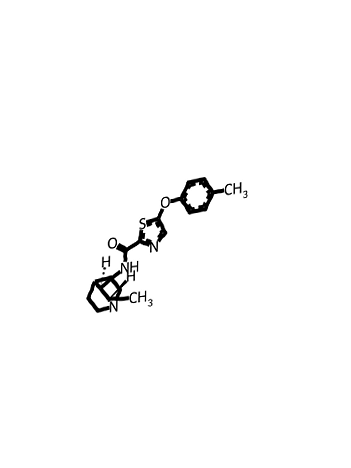 Cc1ccc(Oc2cnc(C(=O)N[C@@H]3C4CCN(CC4)[C@H]3C)s2)cc1